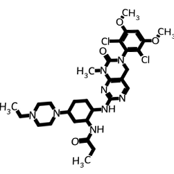 CCC(=O)NC1CC(N2CCN(CC)CC2)CCC1Nc1ncc2c(n1)N(C)C(=O)N(c1c(Cl)c(OC)cc(OC)c1Cl)C2